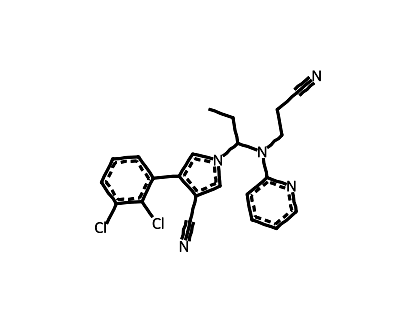 CCC(N(CCC#N)c1ccccn1)n1cc(C#N)c(-c2cccc(Cl)c2Cl)c1